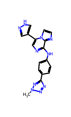 Cn1nnc(-c2ccc(Nc3ncc(-c4cn[nH]c4)n4ccnc34)cc2)n1